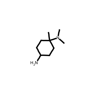 CN(C)C1(C)CCC(N)CC1